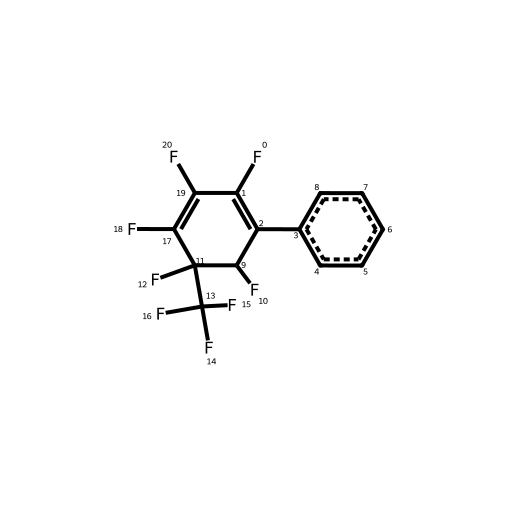 FC1=C(c2ccccc2)C(F)C(F)(C(F)(F)F)C(F)=C1F